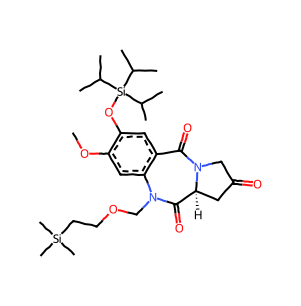 COc1cc2c(cc1O[Si](C(C)C)(C(C)C)C(C)C)C(=O)N1CC(=O)C[C@H]1C(=O)N2COCC[Si](C)(C)C